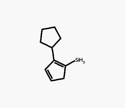 [SiH3]C1=C(C2CCCC2)C=CC1